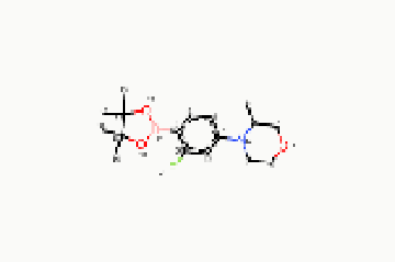 CC1COCCN1c1ccc(B2OC(C)(C)C(C)(C)O2)c(F)c1